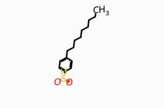 CCCCCCCCCc1ccc([SH](=O)=O)cc1